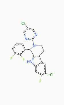 Fc1cc2[nH]c3c(c2cc1Cl)CCN(c1ncc(Cl)cn1)C3c1cccc(F)c1F